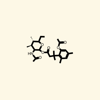 CCC1OC(OC(=O)CC(C)(C)c2c(C)cc(C)cc2OC(C)=O)C(NC(C)=O)[C@@H](C)[C@@H]1C